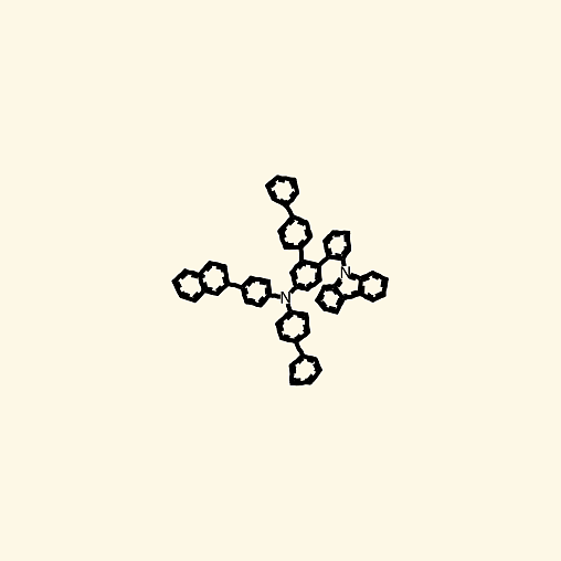 c1ccc(-c2ccc(-c3cc(N(c4ccc(-c5ccccc5)cc4)c4ccc(-c5ccc6ccccc6c5)cc4)ccc3-c3ccccc3-n3c4ccccc4c4ccccc43)cc2)cc1